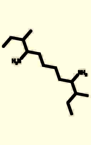 CCC(C)C(N)CCCCC(N)C(C)CC